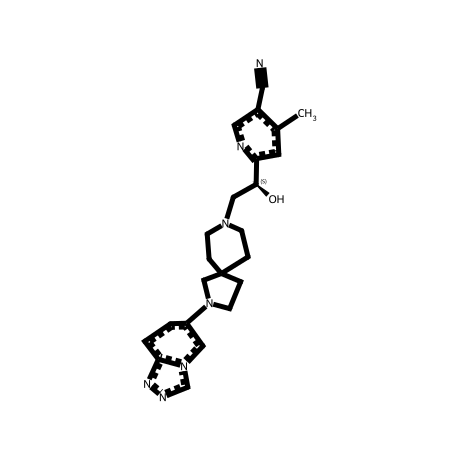 Cc1cc([C@@H](O)CN2CCC3(CC2)CCN(c2ccc4nncn4c2)C3)ncc1C#N